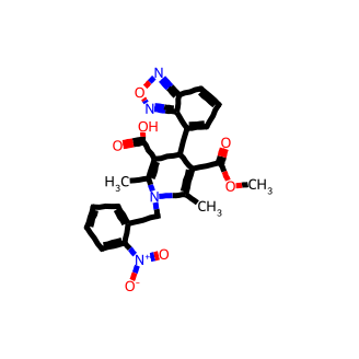 COC(=O)C1=C(C)N(Cc2ccccc2[N+](=O)[O-])C(C)=C(C(=O)O)C1c1cccc2nonc12